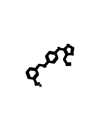 Cc1cccc(COc2ccc(Sc3ocnc3CO)cc2)c1